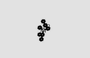 c1ccc(-c2ccc3c(c2)oc2cccc(-c4nc(-c5ccccc5)nc(-c5ccc(-c6ccccc6)c6ccccc56)n4)c23)cc1